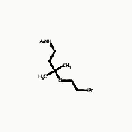 CC(=O)NCCC(C)(C)OCCC(C)C